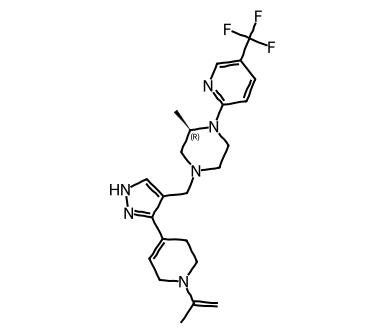 C=C(C)N1CC=C(c2n[nH]cc2CN2CCN(c3ccc(C(F)(F)F)cn3)[C@H](C)C2)CC1